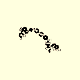 C=CCn1c(=O)c2cnc(Nc3ccc(N4CCN(C5CCN(C[C@H]6C[C@@H](n7ccc8c9c(C%10CCC(=O)NC%10=O)noc9ccc87)C6)CC5)CC4)cc3)nc2n1-c1ccc2c(n1)[C@@](O)(CC)CC2